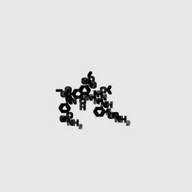 CCOS(=O)(=O)c1cc(Nc2nc(Nc3ccccc3SOON)nc(OC(C)C)n2)c2c(O)c(N=Nc3cccc(OS(N)=O)c3)c(S(=O)(=O)OCC)cc2c1